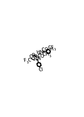 C[C@](NC(=O)Cn1nc(-c2ccc(Cl)cc2)n(C[C@H](O)C(F)(F)F)c1=O)(C(=O)O)c1cccc(C(F)(F)F)c1